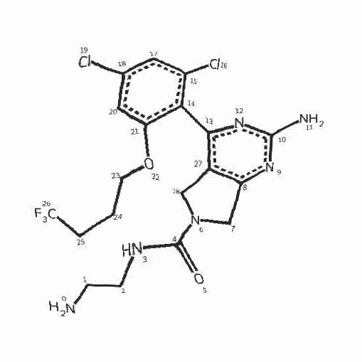 NCCNC(=O)N1Cc2nc(N)nc(-c3c(Cl)cc(Cl)cc3OCCCC(F)(F)F)c2C1